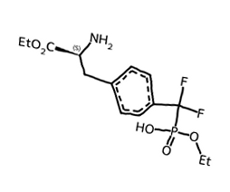 CCOC(=O)[C@@H](N)Cc1ccc(C(F)(F)P(=O)(O)OCC)cc1